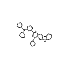 c1ccc(-c2nc(-c3cccc(N(c4ccccc4)c4ccccc4)c3)nc3cc4c(cc23)oc2ccccc24)cc1